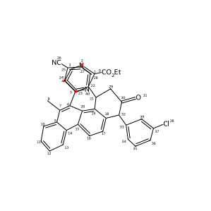 CCOC(=O)c1nccc(-c2c(C)c3ccccc3c3ccc4c(c23)C(c2ccc(C#N)cc2)CC(=O)C4c2cccc(Cl)c2)n1